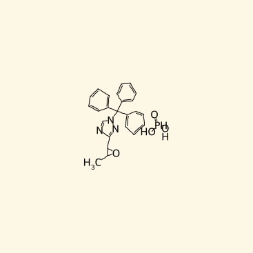 CC1OC1c1ncn(C(c2ccccc2)(c2ccccc2)c2ccccc2)n1.O=[PH](O)O